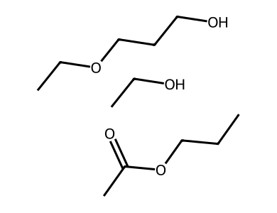 CCCOC(C)=O.CCO.CCOCCCO